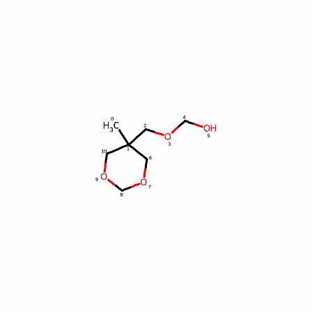 CC1(COCO)COCOC1